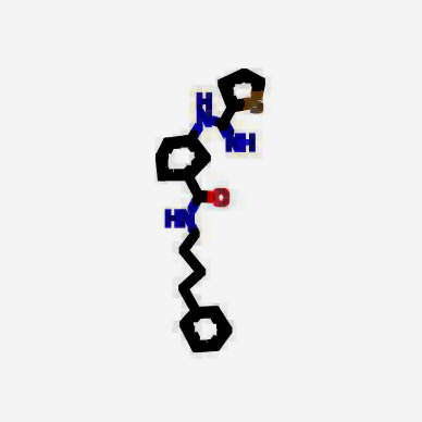 N=C(Nc1cccc(C(=O)NCCCCc2ccccc2)c1)c1cccs1